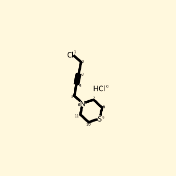 Cl.ClCC#CCN1CCSCC1